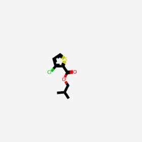 CC(C)COC(=O)c1sccc1Cl